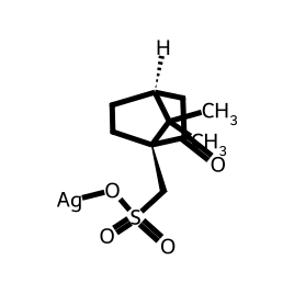 CC1(C)[C@H]2CC[C@@]1(CS(=O)(=O)[O][Ag])C(=O)C2